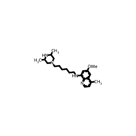 COc1cc(NCCCCCCN2CC(C)NC(C)C2)c2nccc(C)c2c1